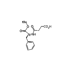 CC(C)(C)OC(=O)[C@H](Cc1ccccc1)NC(=O)CCC(=O)O